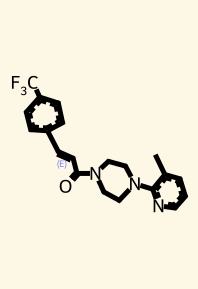 Cc1cccnc1N1CCN(C(=O)/C=C/c2ccc(C(F)(F)F)cc2)CC1